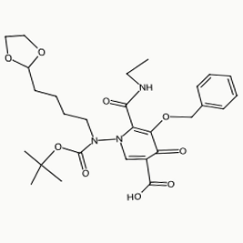 CCNC(=O)c1c(OCc2ccccc2)c(=O)c(C(=O)O)cn1N(CCCCC1OCCO1)C(=O)OC(C)(C)C